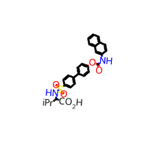 CC(C)C(NS(=O)(=O)c1ccc(-c2ccc(OC(=O)Nc3ccc4ccccc4c3)cc2)cc1)C(=O)O